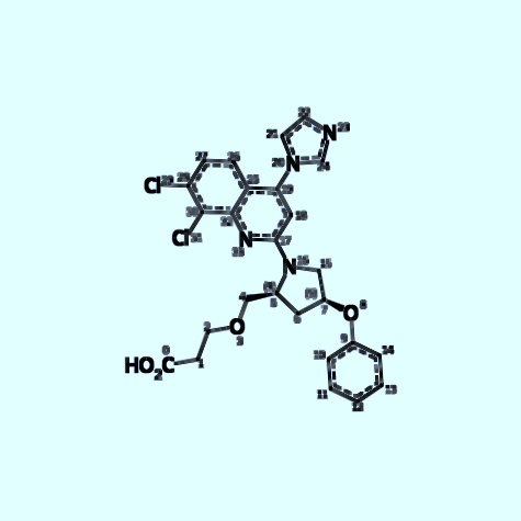 O=C(O)CCOC[C@@H]1C[C@H](Oc2ccccc2)CN1c1cc(-n2ccnc2)c2ccc(Cl)c(Cl)c2n1